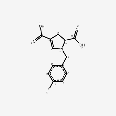 O=C(O)C1=CN(Cc2ccc(F)cc2)N(C(=O)O)C1